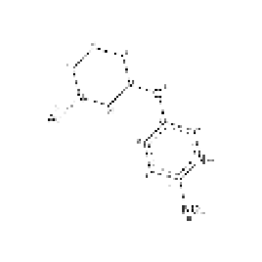 CC(=O)N1CCCC(Oc2ccc([N+](=O)[O-])nc2)C1